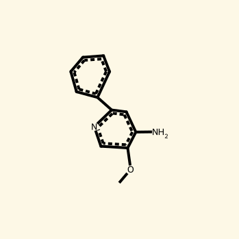 COc1cnc(-c2ccccc2)cc1N